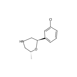 C[C@@H]1CNC[C@@H](c2cccc(Cl)c2)O1